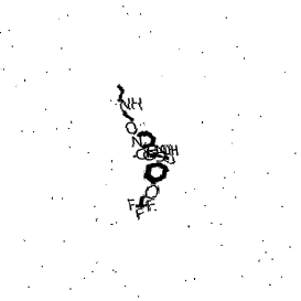 CCCNCCOc1ccc(NS(=O)(=O)c2ccc(OCC(F)(F)F)cc2)c(OC)n1.Cl